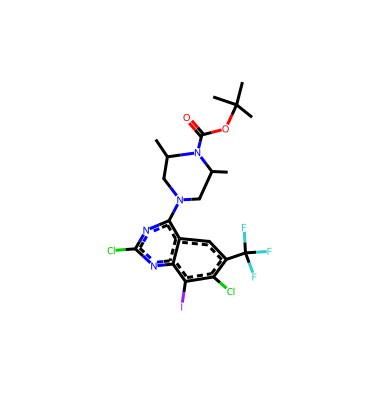 CC1CN(c2nc(Cl)nc3c(I)c(Cl)c(C(F)(F)F)cc23)CC(C)N1C(=O)OC(C)(C)C